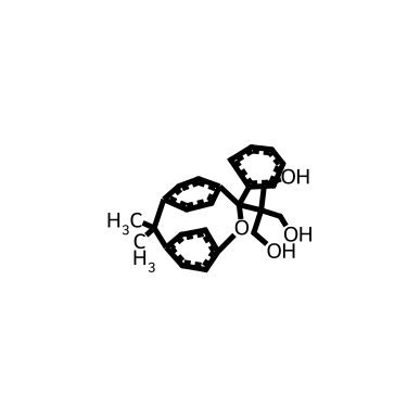 CC1(C)c2ccc(cc2)OC(c2ccccc2)(C(CO)(CO)CO)c2ccc1cc2